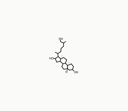 CC(CO)CCCC(C)C1C(O)CC2C3CC[C@H]4CC(O)CC[C@]4(C)C3CC[C@@]21C